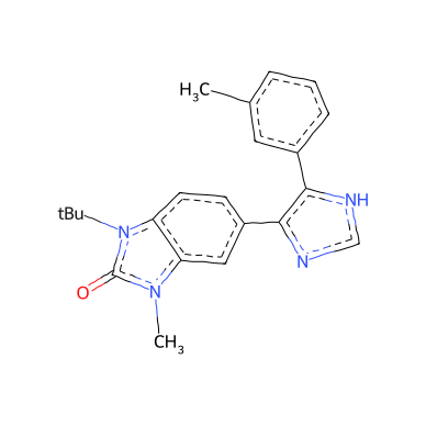 Cc1cccc(-c2[nH]cnc2-c2ccc3c(c2)n(C)c(=O)n3C(C)(C)C)c1